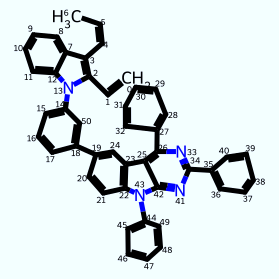 C=Cc1c(/C=C\C)c2ccccc2n1-c1cccc(-c2ccc3c(c2)c2c(-c4ccccc4)nc(-c4ccccc4)nc2n3-c2ccccc2)c1